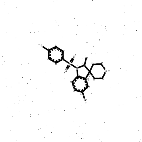 CC1N(S(=O)(=O)c2ccc(F)cc2)c2ccc(Br)cc2C12CCOCC2